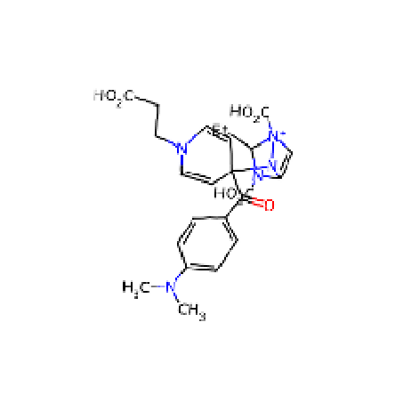 CCC1N(C(=O)O)C2=C[N+]1(C(=O)O)N2C1(C(=O)c2ccc(N(C)C)cc2)C=CN(CCC(=O)O)C=C1